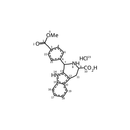 COC(=O)c1ccc(C2NC(C(=O)O)Cc3c2[nH]c2ccccc32)cc1.Cl